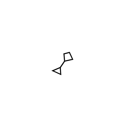 [CH]1CC1C1CCC1